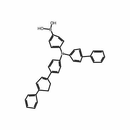 OB(O)c1ccc(N(c2ccc(C3=CC=C(c4ccccc4)CC3)cc2)c2ccc(-c3ccccc3)cc2)cc1